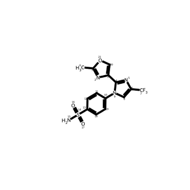 Cc1nc(-c2nc(C(F)(F)F)cn2-c2ccc(S(N)(=O)=O)cc2)co1